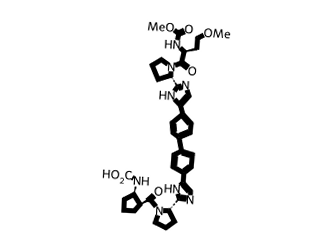 COCC[C@H](NC(=O)OC)C(=O)N1CCC[C@H]1c1ncc(-c2ccc(-c3ccc(-c4cnc([C@@H]5CCCN5C(=O)[C@H]5CCC[C@@H]5NC(=O)O)[nH]4)cc3)cc2)[nH]1